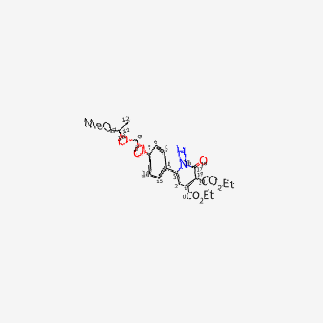 CCOC(=O)c1cc(-c2ccc(OCOC(C)OC)cc2)[nH]c(=O)c1C(=O)OCC